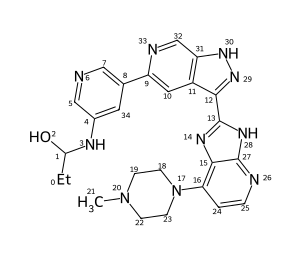 CCC(O)Nc1cncc(-c2cc3c(-c4nc5c(N6CCN(C)CC6)ccnc5[nH]4)n[nH]c3cn2)c1